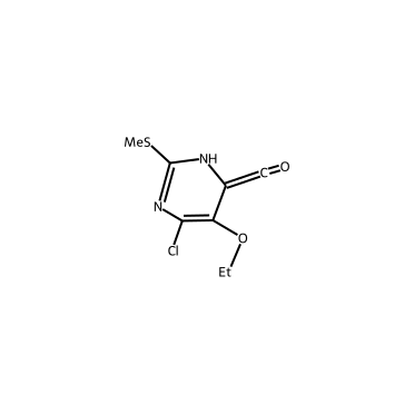 CCOC1=C(Cl)N=C(SC)NC1=C=O